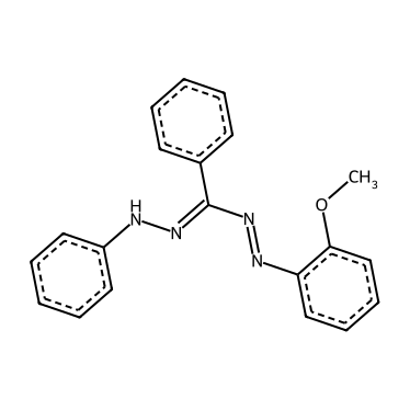 COc1ccccc1N=NC(=NNc1ccccc1)c1ccccc1